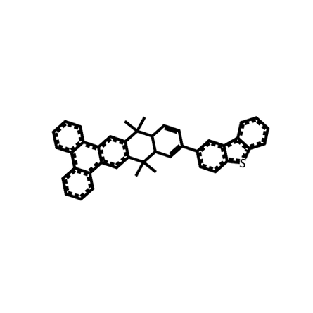 CC1(C)c2cc3c4ccccc4c4ccccc4c3cc2C(C)(C)C2C=C(c3ccc4sc5ccccc5c4c3)C=CC21